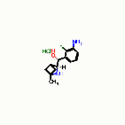 CC12CC(C1)[C@@H]([C@H](O)c1cccc(N)c1F)N2.Cl